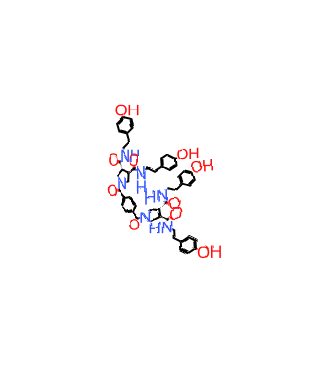 O=C(NCCc1ccc(O)cc1)[C@H]1CN(C(=O)c2ccc(C(=O)N3C[C@H](C(=O)NCCc4ccc(O)cc4)[C@@H](C(=O)NCCc4ccc(O)cc4)C3)cc2)C[C@@H]1C(=O)NCCc1ccc(O)cc1